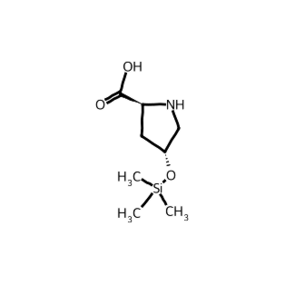 C[Si](C)(C)O[C@H]1CN[C@H](C(=O)O)C1